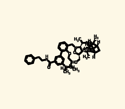 CC(N[C@H]1C[C@H]2C[C@@H]([C@@H]1C)C2(C)C)[C@@H]1[C@H]([C@H](C)O)[C@H](CO)ON1Cc1cccc(-c2cc(C(=O)NCCc3ccccc3)cc(N(C)C)c2)c1OCCN(C)C